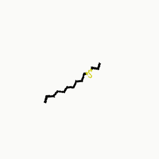 CCCCCCCCCCSCCC